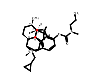 CO[C@]12CC[C@@]3(C[C@@H]1C(C)(C)O)C1Cc4ccc(OC(=O)N(C)CCN)c5c4[C@@]3(CC[N@+]1(C)CC1CC1)[C@H]2O5